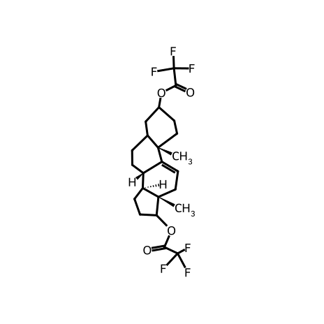 C[C@]12CCC(OC(=O)C(F)(F)F)CC1CC[C@@H]1C2=CC[C@]2(C)C(OC(=O)C(F)(F)F)CC[C@@H]12